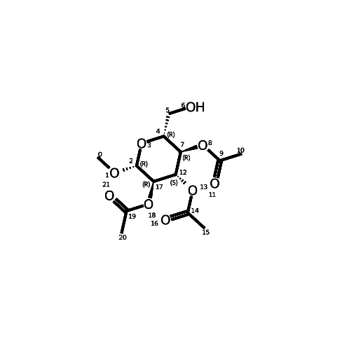 CO[C@@H]1O[C@H](CO)[C@@H](OC(C)=O)[C@H](OC(C)=O)[C@H]1OC(C)=O